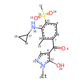 CCn1ncc(C(=O)c2ccc(S(C)(=O)=O)c(NC3CC3)c2C)c1O